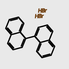 Br.Br.c1ccc2c(-c3cccc4ccccc34)cccc2c1